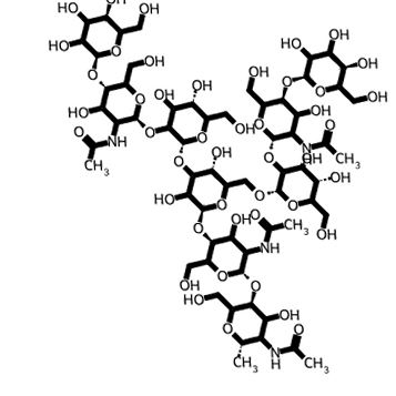 CC(=O)NC1C(O)[C@H](O[C@@H]2OC(CO)[C@H](O)C(O)C2O)C(CO)O[C@H]1OC1C(O)[C@H](O)C(CO)O[C@@H]1OC1C(O)[C@H](O[C@@H]2C(CO)O[C@@H](O[C@@H]3C(CO)O[C@@H](C)C(NC(C)=O)C3O)C(NC(C)=O)C2O)OC(CO[C@H]2OC(CO)[C@@H](O)C(O)C2O[C@@H]2OC(CO)[C@@H](O[C@@H]3OC(CO)[C@H](O)C(O)C3O)C(O)C2NC(C)=O)[C@H]1O